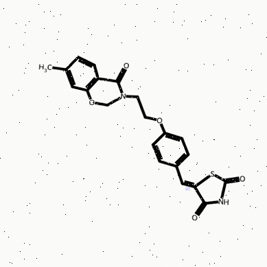 Cc1ccc2c(c1)OCN(CCOc1ccc(/C=C3\SC(=O)NC3=O)cc1)C2=O